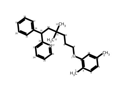 Cc1ccc(C)c(OCCCC(C)(C)CC(c2ccccc2)c2ccccn2)c1